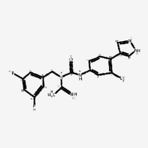 CCc1cc(NC(=O)N(Cc2cc(F)cc(F)c2)C(C)=N)ccc1-c1cn[nH]c1